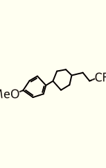 COc1ccc(C2CCC(CCC(F)(F)F)CC2)cc1